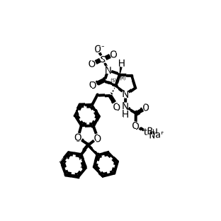 CC(C)(C)OC(=O)NN1CC[C@H]2N(S(=O)(=O)[O-])C(=O)[C@@]21C(=O)Cc1ccc2c(c1)OC(c1ccccc1)(c1ccccc1)O2.[Na+]